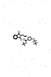 CC(C)(C)OC(=O)N1C[C@H](O[Si](C)(C)C(C)(C)C)C[C@H]1/C=C/CN1C(=O)c2ccccc2C1=O